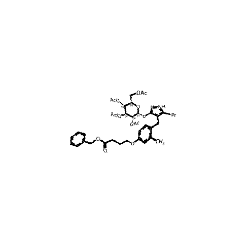 CC(=O)OC[C@H]1O[C@@H](Oc2n[nH]c(C(C)C)c2Cc2ccc(OCCCC(=O)OCc3ccccc3)cc2C)[C@H](OC(C)=O)[C@@H](OC(C)=O)[C@H]1OC(C)=O